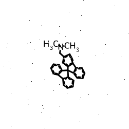 CN(C)Cc1ccc2c(c1)C1(c3ccccc3-c3ccccc31)c1ccccc1-2